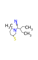 CCC(CC)C(C#N)N1CC(=S)CCC1C